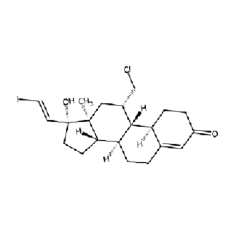 C[C@]12C[C@H](CCl)[C@H]3[C@@H](CCC4=CC(=O)CC[C@@H]43)[C@@H]1CC[C@@]2(O)/C=C/I